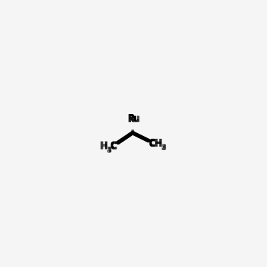 C[CH]C.[Ru]